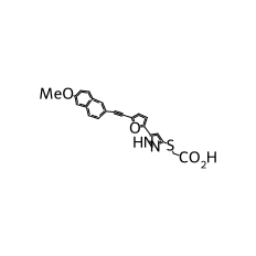 COc1ccc2cc(C#Cc3ccc(-c4cc(SCC(=O)O)n[nH]4)o3)ccc2c1